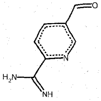 N=C(N)c1ccc(C=O)cn1